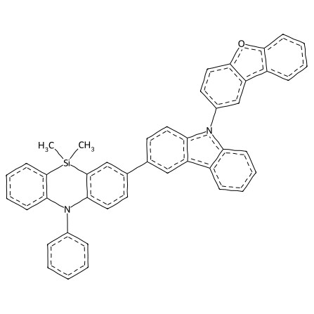 C[Si]1(C)c2ccccc2N(c2ccccc2)c2ccc(-c3ccc4c(c3)c3ccccc3n4-c3ccc4oc5ccccc5c4c3)cc21